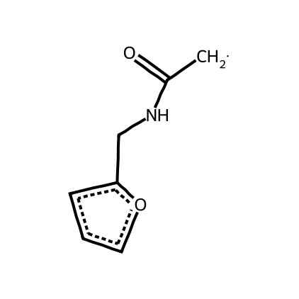 [CH2]C(=O)NCc1ccco1